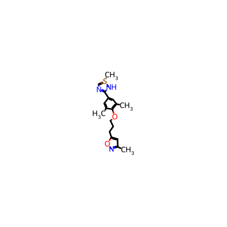 Cc1cc(CCCOc2c(C)cc(C3=NC=S(C)N3)cc2C)on1